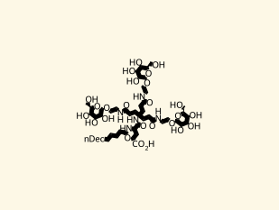 CCCCCCCCCCCCCCC(=O)NC(CCC(=O)O)C(=O)NC(CCC(=O)NCCO[C@H]1O[C@H](CO)[C@@H](O)[C@H](O)[C@@H]1O)(CCC(=O)NCCO[C@H]1O[C@H](CO)[C@@H](O)[C@H](O)[C@@H]1O)CCC(=O)NCCO[C@H]1O[C@H](CO)[C@@H](O)[C@H](O)[C@@H]1O